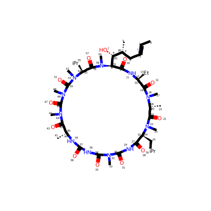 C/C=C/C[C@@H](C)[C@@H](O)[C@H]1C(=O)N[C@@H](CC)C(=O)N(C)[C@H](C)C(=O)N(C)[C@@H](CC(C)C)C(=O)NC(=O)N(C)C(=O)NC(=O)N[C@H](C)C(=O)N(C)C(=O)N(C)C(=O)N(C)[C@@H](C(C)C)C(=O)N1C